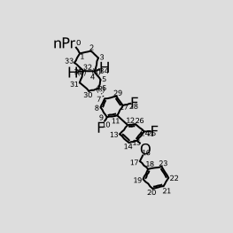 CCCC1CC[C@@H]2C[C@H](c3cc(F)c(-c4ccc(OCc5ccccc5)c(F)c4)c(F)c3)CC[C@@H]2C1